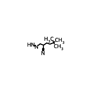 CC(C)(C)CCC(C#N)CN=N